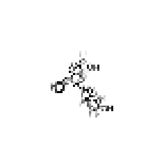 NCC(=O)N[C@@H](Cc1cccnc1)C(=O)N[C@@H](CO)C(=O)O.O=C(O)C(F)(F)F.O=C(O)C(F)(F)F